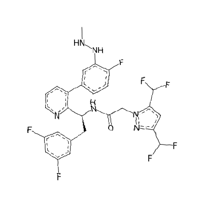 CNNc1cc(-c2cccnc2[C@H](Cc2cc(F)cc(F)c2)NC(=O)Cn2nc(C(F)F)cc2C(F)F)ccc1F